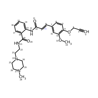 C#CCOc1ccc(/C=C/C(=O)Nc2ccccc2C(=O)NCCN2CCN(C)CC2)cc1OC